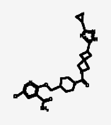 NC(=O)c1cc(Cl)cnc1OCC1CCN(C(=O)N2CC3(CC(c4nc(C5CC5)n[nH]4)C3)C2)CC1